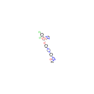 CC[C@H](C)n1ncn(-c2ccc(N3CCN(c4ccc(OC[C@@H]5CO[C@@](Cn6ccnc6C)(c6ccc(Cl)cc6Cl)O5)cc4)CC3)cc2)c1=O